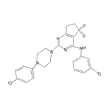 O=S1(=O)CCc2nc(N3CCN(c4ccc(Cl)cc4)CC3)nc(Nc3cccc(Cl)c3)c21